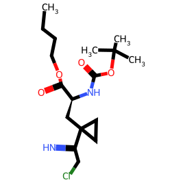 CCCCOC(=O)[C@H](CC1(C(=N)CCl)CC1)NC(=O)OC(C)(C)C